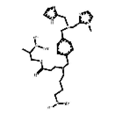 CCCN(CCC)CCCCN(CCC(=O)OCC(C)N(CCC)CCC)Cc1ccc(CN(Cc2ncc[nH]2)Cc2nccn2C)cc1